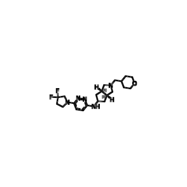 FC1(F)CCN(c2ccc(NC3C[C@@H]4CN(CC5CCOCC5)C[C@@H]4C3)nn2)C1